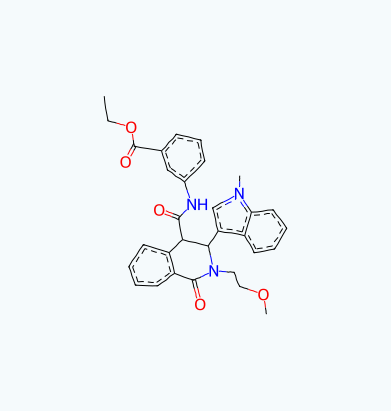 CCOC(=O)c1cccc(NC(=O)C2c3ccccc3C(=O)N(CCOC)C2c2cn(C)c3ccccc23)c1